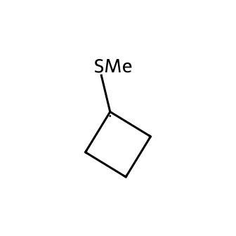 CS[C]1CCC1